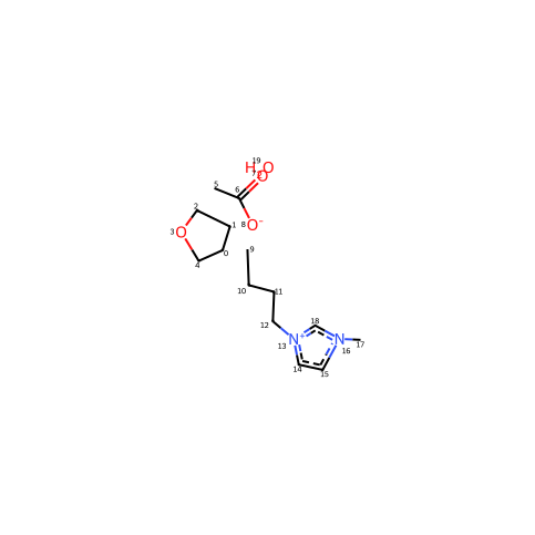 C1CCOC1.CC(=O)[O-].CCCC[n+]1ccn(C)c1.O